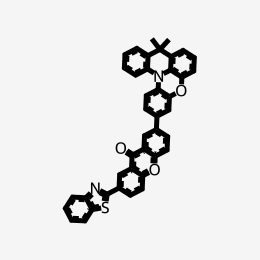 CC1(C)c2ccccc2N2c3ccc(-c4ccc5oc6ccc(-c7nc8ccccc8s7)cc6c(=O)c5c4)cc3Oc3cccc1c32